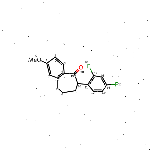 COc1ccc2c(c1)CCCC(c1ccc(F)cc1F)C2=O